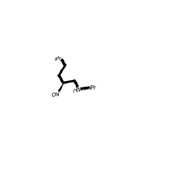 CC(C)CC[C@@H](CNC(C)C)N=O